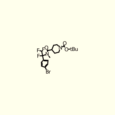 CN(C(=O)C1CCN(C(=O)OC(C)(C)C)CC1)C(F)(c1ccc(Br)cc1)C(F)F